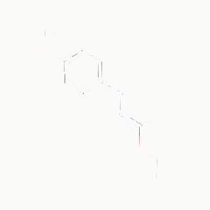 CCO/C(Cl)=N/Nc1ccc(OC)cc1